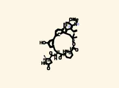 C=C/C(=C(\N=C/C)[C@H](C)OC)c1c2c3cc(ccc3n1CC)-c1cc(O)cc(c1)C[C@H](NC(=O)[C@H]1CC(=O)N[C@@H]1C)C(=O)N1CCC[C@H](N1)C(=O)OCC(C)(C)C2